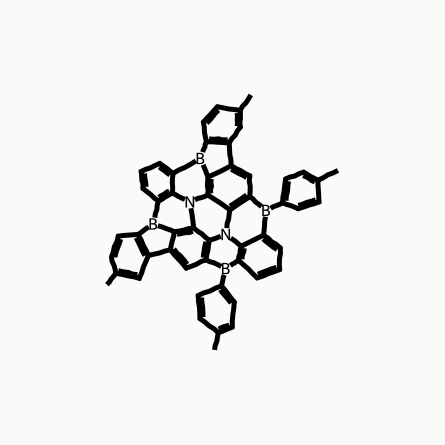 Cc1ccc(B2c3cccc4c3N3c5c2cc2c6c5N5c7c(cccc7B7c8ccc(C)cc8-c8cc(c3c5c87)B4c3ccc(C)cc3)B6c3ccc(C)cc3-2)cc1